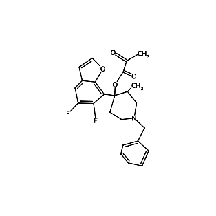 CC(=O)C(=O)OC1(c2c(F)c(F)cc3ccoc23)CCN(Cc2ccccc2)CC1C